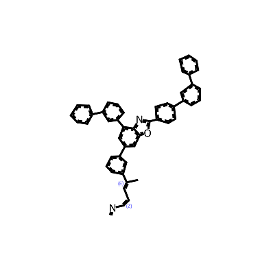 C=N/C=C\C=C(/C)c1cccc(-c2cc(-c3cccc(-c4ccccc4)c3)c3nc(-c4ccc(-c5cccc(-c6ccccc6)c5)cc4)oc3c2)c1